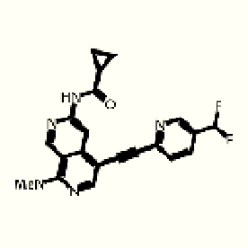 CNc1ncc(C#Cc2ccc(C(F)F)cn2)c2cc(NC(=O)C3CC3)ncc12